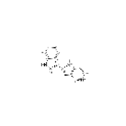 c1ccc2c(-c3cc4cnccc4[nH]3)n[nH]c2c1